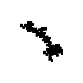 CC(C)(C)OC(=O)NCCCn1nc(-c2ccc(OCC(O[Si](C)(C)C(C)(C)C)C(=O)OC(C)(C)C)cc2)cc1CO